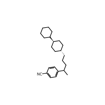 CC(CCC[C@H]1CC[C@H](C2CCCCC2)CC1)c1ccc(C#N)cc1